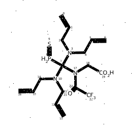 C=CCN(CC=C)C([PH2]=S)(N(CC=C)CC=C)N(CC(=O)O)C(=O)C(F)(F)F